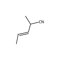 CC=CC(C)C#N